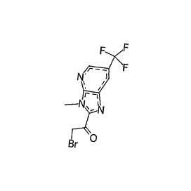 Cn1c(C(=O)CBr)nc2cc(C(F)(F)F)cnc21